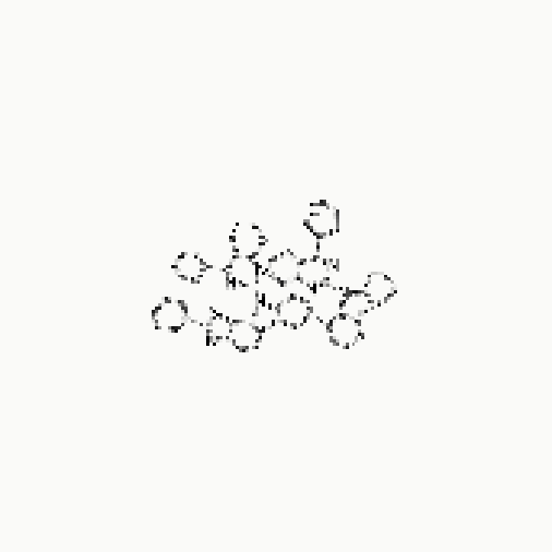 c1ccc(-c2nc3ccc4c5cc(-c6cccc7c8ccccc8n(-c8nc(-c9ccccc9)c9ccccc9n8)c67)ccc5n(-c5nc(-c6ccccc6)c6ccccc6n5)c4c3s2)cc1